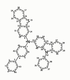 c1ccc(-c2ccc(N(c3ccc4c(c3)sc3ccccc34)c3ccc4c5ccccc5n(-c5ccccc5)c4c3)cc2)cc1